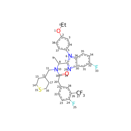 CCOc1ccc(-n2c(C(C)N(CC3CCSCC3)C(=O)Cc3ccc(F)c(C(F)(F)F)c3)nc3cc(F)ccc32)cc1